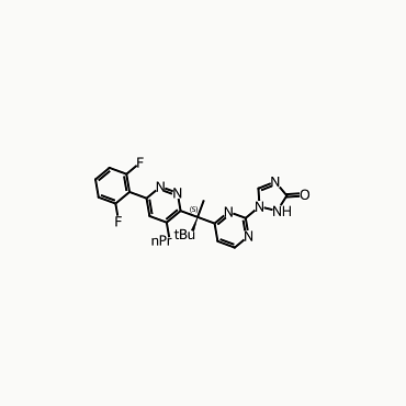 CCCc1cc(-c2c(F)cccc2F)nnc1[C@](C)(c1ccnc(-n2cnc(=O)[nH]2)n1)C(C)(C)C